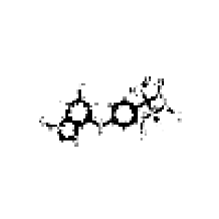 CCOC([PH2]=O)(c1ccc(Nc2nc(I)nc3c2ncn3C(C)C)cc1)P(=O)(OCC)OCC